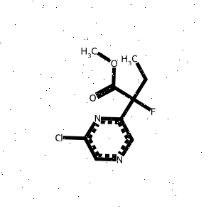 CCC(F)(C(=O)OC)c1cncc(Cl)n1